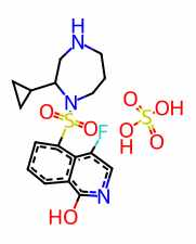 O=S(=O)(O)O.O=S(=O)(c1cccc2c(O)ncc(F)c12)N1CCCNCC1C1CC1